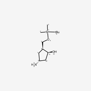 CC(C)(C)[Si](C)(C)OC[C@@H]1C[C@@H](N)C[C@@H]1O